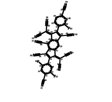 N#CC(C#N)=C1C(c2cc(F)c(C#N)cc2F)=C(C#N)c2c1cc1c(c2C#N)C(=C(C#N)C#N)C(c2ccc(C#N)nc2F)=C1C#N